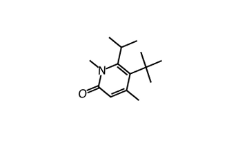 Cc1cc(=O)n(C)c(C(C)C)c1C(C)(C)C